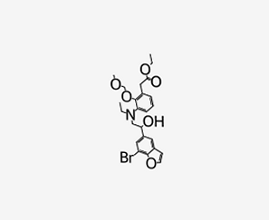 CCOC(=O)Cc1cccc(N(CC)CC(O)c2cc(Br)c3occc3c2)c1OCOC